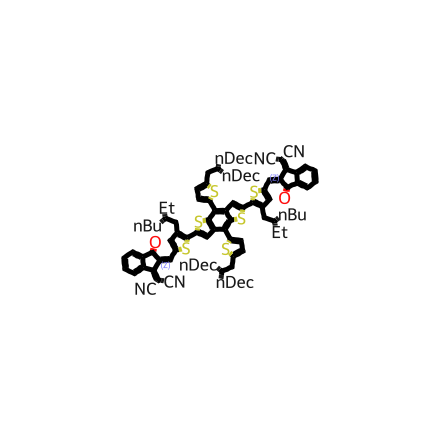 CCCCCCCCCCC(CCCCCCCCCC)Cc1ccc(-c2c3cc(-c4sc(/C=C5\C(=O)c6ccccc6C5=C(C#N)C#N)cc4CC(CC)CCCC)sc3c(-c3ccc(CC(CCCCCCCCCC)CCCCCCCCCC)s3)c3cc(-c4sc(/C=C5\C(=O)c6ccccc6C5=C(C#N)C#N)cc4CC(CC)CCCC)sc23)s1